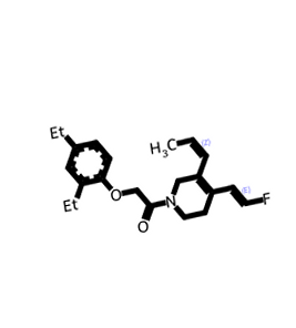 C/C=C\C1=C(/C=C/F)CCN(C(=O)COc2ccc(CC)cc2CC)C1